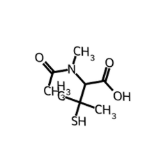 CC(=O)N(C)C(C(=O)O)C(C)(C)S